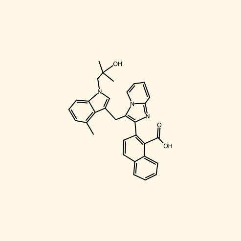 Cc1cccc2c1c(Cc1c(-c3ccc4ccccc4c3C(=O)O)nc3ccccn13)cn2CC(C)(C)O